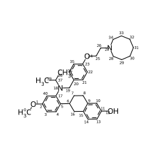 COc1ccc(C2CCc3cc(O)ccc3C2)c(N(Cc2ccc(OCCN3CCCCCCC3)cc2)C(C)C)c1